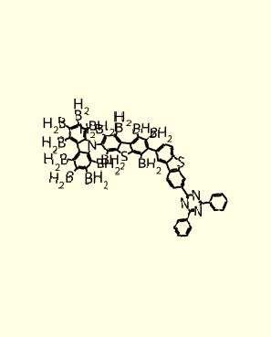 Bc1c(-c2ccc3sc4cc(-c5nc(-c6ccccc6)nc(-c6ccccc6)n5)ccc4c3c2)c(B)c2sc3c(B)c(-n4c5c(B)c(B)c(B)c(B)c5c5c(B)c(B)c(B)c(B)c54)c(B)c(B)c3c2c1B